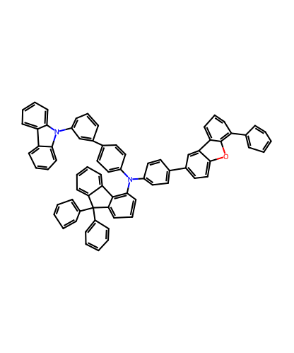 c1ccc(-c2cccc3c2oc2ccc(-c4ccc(N(c5ccc(-c6cccc(-n7c8ccccc8c8ccccc87)c6)cc5)c5cccc6c5-c5ccccc5C6(c5ccccc5)c5ccccc5)cc4)cc23)cc1